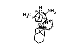 COC1(c2ccnc(C(N)=O)c2)C2CCCC1CN([C@@H]1C[C@H]3[C@H]4C1[C@]43C)C2